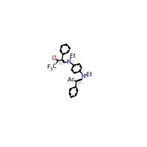 CCN(/C=C(\C(C)=O)c1ccccc1)c1ccc(N(/C=C(/C(=O)C(F)(F)F)c2ccccc2)CC)cc1